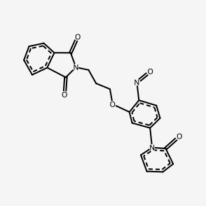 O=Nc1ccc(-n2ccccc2=O)cc1OCCCN1C(=O)c2ccccc2C1=O